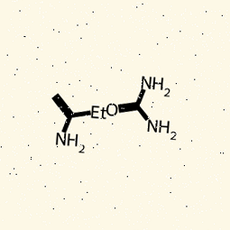 C=C(N)CC.NC(N)=O